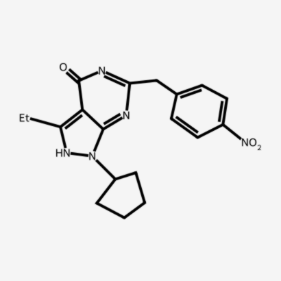 CCc1[nH]n(C2CCCC2)c2nc(Cc3ccc([N+](=O)[O-])cc3)nc(=O)c1-2